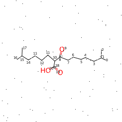 CC(C)CCCCCC(=O)C(CCCCC(C)C)C(=O)O